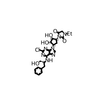 CCN1CC(=O)N([C@H]2C[C@@H](n3cnc4c(N[C@H](CO)Cc5ccccc5)nc(Cl)nc43)[C@H](O)[C@@H]2O)C1=O